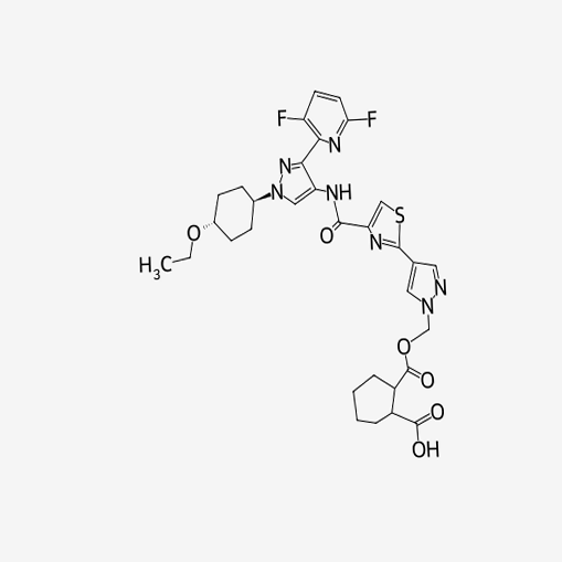 CCO[C@H]1CC[C@H](n2cc(NC(=O)c3csc(-c4cnn(COC(=O)C5CCCCC5C(=O)O)c4)n3)c(-c3nc(F)ccc3F)n2)CC1